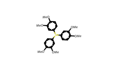 COc1ccc([S+](c2ccc(OC)c(OC)c2)c2ccc(OC)c(OC)c2)cc1OC